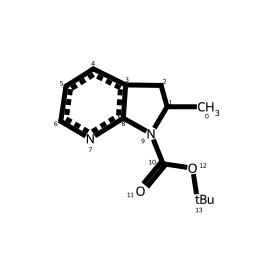 CC1Cc2cccnc2N1C(=O)OC(C)(C)C